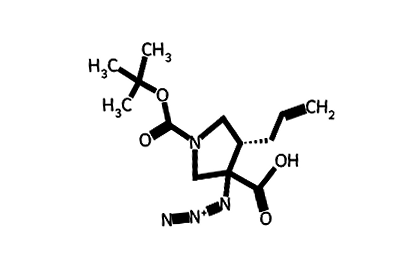 C=CC[C@H]1CN(C(=O)OC(C)(C)C)CC1(N=[N+]=[N-])C(=O)O